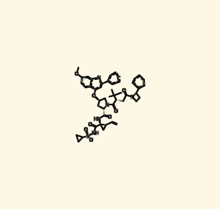 C=CC1C[C@]1(NC(=O)[C@@H]1C[C@@H](Oc2cc(-c3ccccc3)nc3cc(OC)ccc23)CN1C(=O)[C@@H](CC(=O)N1CCC1c1ccccc1)C(C)(C)C)C(=O)NS(=O)(=O)C1CC1